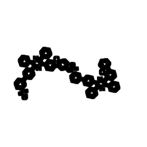 CP(C)(=O)c1cccc(-c2ccc(-c3nc(-c4ccc5c(c4)oc4ccc(CP(C)(=O)c6cccc(-c7ccc(-c8nc(-c9cccc%10c9oc9ccccc9%10)c(-c9ccccc9)nc8-c8ccccc8)cc7)c6)cc45)c(-c4ccccc4)nc3-c3ccccc3)cc2)c1